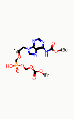 CC(C)OC(=O)OCOP(=O)(O)CO[C@H](C)Cn1cnc2c(NC(=O)OC(C)(C)C)ncnc21